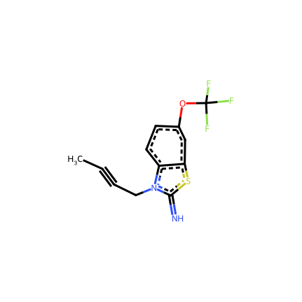 CC#CCn1c(=N)sc2cc(OC(F)(F)F)ccc21